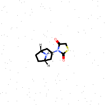 CN1[C@@H]2CC[C@H]1C[C@H](N1C(=O)CSC1=O)C2